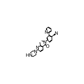 Cc1nc(N2CCNCC2)ccc1C(=O)N(C)c1ccc(C#N)c(-c2ccccn2)c1